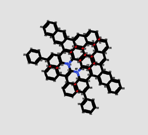 c1ccc(C(=C(N(c2ccccc2)c2ccc(-c3ccccc3)cc2-c2cc3cc4ccccc4cc3c3cc4ccccc4cc23)N(c2ccccc2)c2ccc(-c3ccccc3)cc2-c2cc3cc4ccccc4cc3c3cc4ccccc4cc23)c2ccccc2)cc1